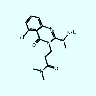 C[C@H](N)c1nc2cccc(Cl)c2c(=O)n1CCC(=O)N(C)C